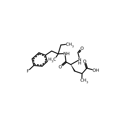 CCC(C)(Cc1ccc(F)cc1)NC(=O)[C@H](CC(C)C(=O)O)NC=O